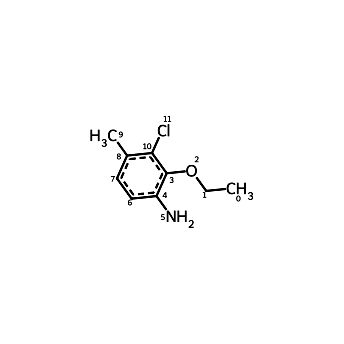 CCOc1c(N)ccc(C)c1Cl